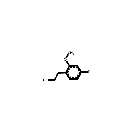 COc1cc(F)ccc1CCO